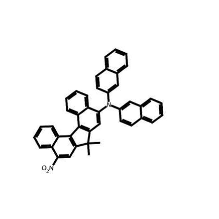 CC1(C)c2cc(N(c3ccc4ccccc4c3)c3ccc4ccccc4c3)c3ccccc3c2-c2c1cc([N+](=O)[O-])c1ccccc21